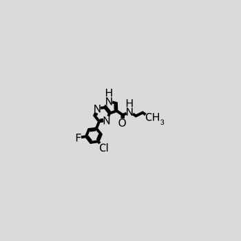 CCCNC(=O)c1c[nH]c2ncc(-c3cc(F)cc(Cl)c3)nc12